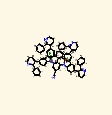 N#Cc1cc(-n2c3ccc(-c4cccnc4-c4ccccc4)cc3c3cc(-c4cccnc4-c4ccccc4)ccc32)c(-c2c(C(F)(F)F)cccc2C(F)(F)F)c(-n2c3ccc(-c4cccnc4-c4ccccc4)cc3c3cc(-c4cccnc4-c4ccccc4)ccc32)c1